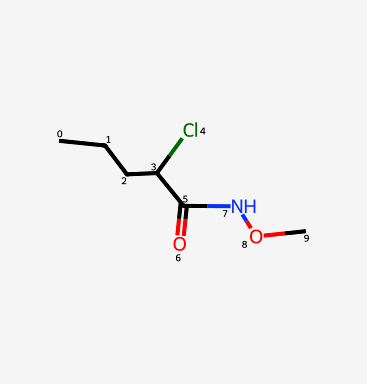 CCCC(Cl)C(=O)NOC